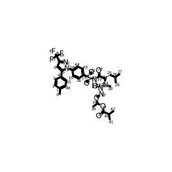 Cc1ccc(-c2cc(C(F)(F)F)nn2-c2ccc(S(=O)(=O)NC(=O)[C@H](CC(C)C)N(C)[N+]([O-])=NOC(C)OC(=O)C(C)C)cc2)cc1